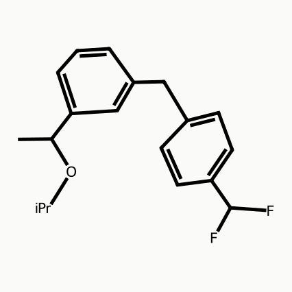 CC(C)OC(C)c1cccc(Cc2ccc(C(F)F)cc2)c1